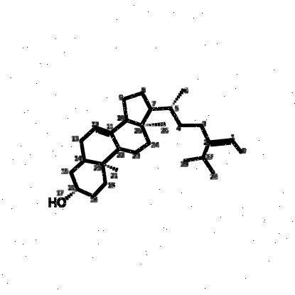 C/C=C(/CC[C@@H](C)C1CCC2C3=CCC4C[C@@H](O)CC[C@]4(C)C3CC[C@@]21C)C(C)C